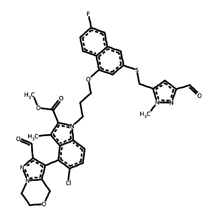 COC(=O)c1c(C)c2c(-c3c(C=O)nn4c3COCC4)c(Cl)ccc2n1CCCOc1cc(SCc2cc(C=O)nn2C)cc2cc(F)ccc12